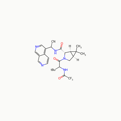 CC(C)(C)C(NC(=O)C(F)(F)F)C(=O)N1C[C@H]2[C@@H]([C@H]1C(=O)NC(C#N)c1cncc3cnccc13)C2(C)C